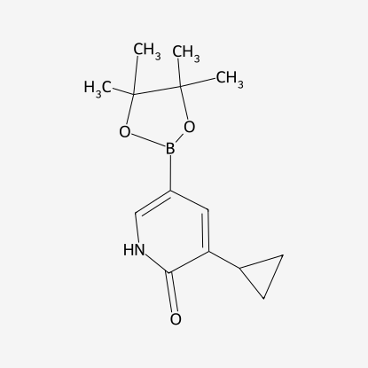 CC1(C)OB(c2c[nH]c(=O)c(C3CC3)c2)OC1(C)C